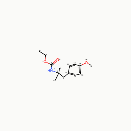 CCOC(=O)NC(C)(C)Cc1ccc(OC)cc1